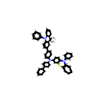 CC1(C)c2ccccc2N(c2ccccc2)c2ccc(-c3ccc(N(c4ccc(-c5ccccc5)cc4)c4ccc5c(c4)Sc4ccccc4N5c4ccccc4)cc3)cc21